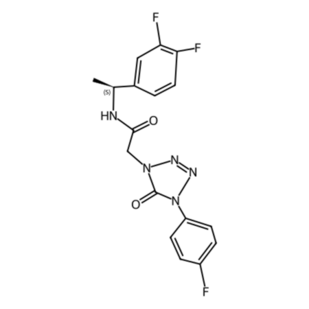 C[C@H](NC(=O)Cn1nnn(-c2ccc(F)cc2)c1=O)c1ccc(F)c(F)c1